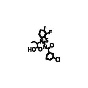 CCC(C(=O)O)n1/c(=N/C(=O)c2cccc(Cl)c2)sc2c(F)c(C)ccc21